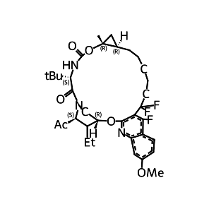 CCC1[C@@H]2CN(C(=O)[C@H](C(C)(C)C)NC(=O)O[C@]3(C)C[C@H]3CCCCCC(F)(F)c3c(nc4cc(OC)ccc4c3F)O2)[C@@H]1C(C)=O